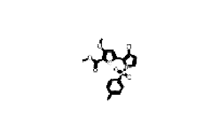 COC(=O)c1oc(-c2c(Cl)ccn2S(=O)(=O)c2ccc(C)cc2)cc1OC